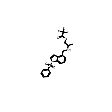 CC(COC(=O)C(F)(F)F)NCc1cccc2c1ccn2S(=O)(=O)c1ccccc1